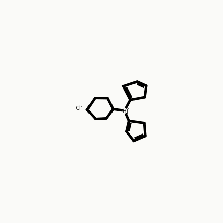 C1=CC[C]([Hf+]([C]2=CC=CC2)[CH]2CCCCC2)=C1.[Cl-]